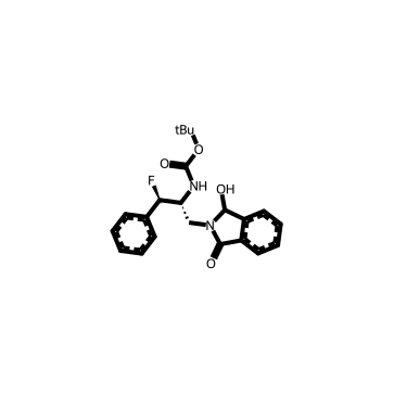 CC(C)(C)OC(=O)N[C@H](CN1C(=O)c2ccccc2C1O)[C@H](F)c1ccccc1